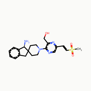 CS(=O)(=O)C=Cc1cnc(N2CCC3(CC2)Cc2ccccc2[C@H]3N)c(CO)n1